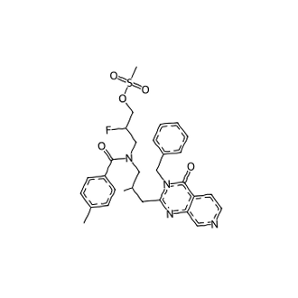 Cc1ccc(C(=O)N(CC(C)Cc2nc3cnccc3c(=O)n2Cc2ccccc2)CC(F)COS(C)(=O)=O)cc1